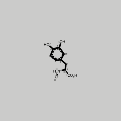 O=C(O)[C@H](Cc1ccc(O)c(O)c1)[NH2+][O-]